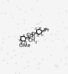 COc1cccc(C(C)(C)COc2ccc(C(C)C)cc2)c1